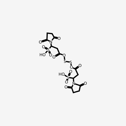 O=C(CC(N1C(=O)CCC1=O)S(=O)(=O)O)OSSOC(=O)CC(N1C(=O)CCC1=O)S(=O)(=O)O